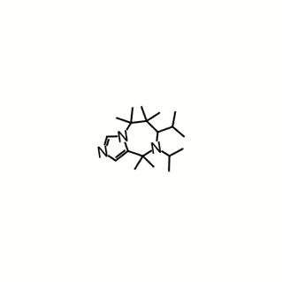 CC(C)C1N(C(C)C)C(C)(C)c2cncn2C(C)(C)C1(C)C